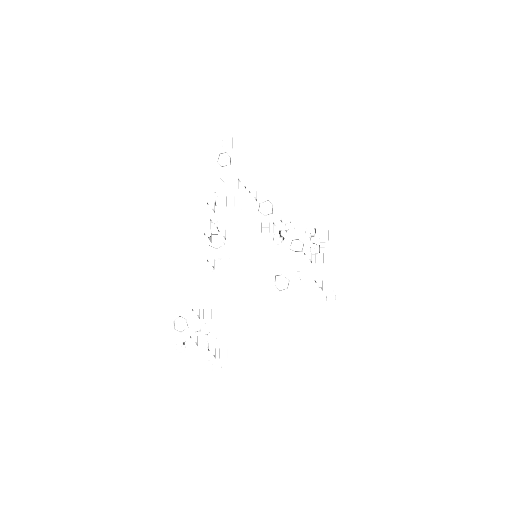 CC1(CN2CCN(c3ncc(C(=O)NCCCCCCNc4cccc5c4C(=O)N(C4CCC(=O)NC4=O)C5=O)cn3)CC2)CCC(c2ccc(Cl)cc2)=C(CN2CCN(c3ccc(C(=O)NS(=O)(=O)c4ccc(N[C@H](CCN5CCOCC5)CSc5ccccc5)c(S(=O)(=O)C(F)(F)F)c4)cc3)CC2)C1